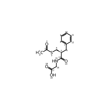 CC(=O)SC[C@@H](Cc1ccccc1)C(=O)NCC(=O)O